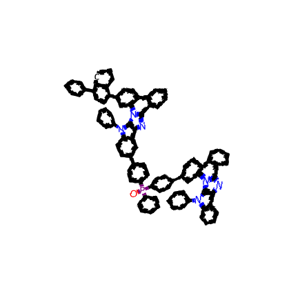 O=P(c1ccccc1)(c1ccc(-c2ccc3c(c2)c2nc4c5ccccc5c5ccc(-c6ccc(-c7ccccc7)c7ccccc67)cc5n4c2n3-c2ccccc2)cc1)c1ccc(-c2ccc3c4ccccc4c4nc5c6ccccc6n(-c6ccccc6)c5n4c3c2)cc1